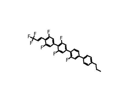 CCCc1ccc(-c2ccc(-c3cc(F)c(-c4cc(F)c(/C=C/C(F)(F)F)c(F)c4)c(F)c3)c(F)c2)cc1